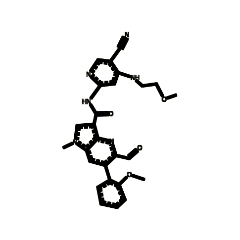 COCCNc1cc(NC(=O)c2cn(C)c3cc(-c4ccccc4OC)c(C=O)nc23)ncc1C#N